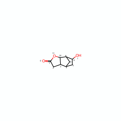 O=C1CC2C3CC(O)C(C3)C2O1